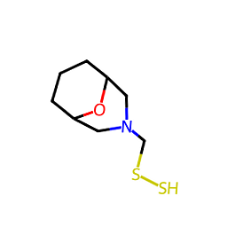 SSCN1CC2CCCC(C1)O2